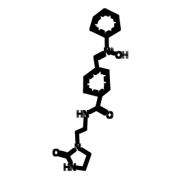 O=C(NCCN1CCNC1=O)c1ccc(/C=[N+](\O)c2ccccc2)cc1